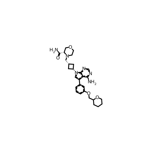 NC(=O)[C@@H]1COCCN1C[C@H]1C[C@@H](n2cc(-c3cccc(OCC4CCCCO4)c3)c3c(N)ncnc32)C1